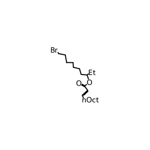 CCCCCCCC/C=C/C(=O)OC(CC)CCCCCCCBr